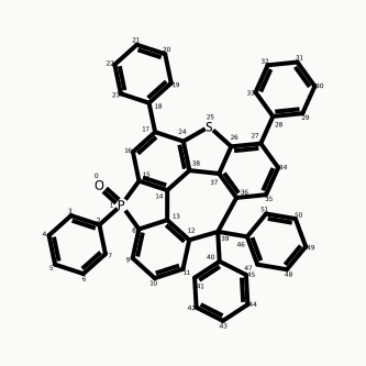 O=P1(c2ccccc2)c2cccc3c2-c2c1cc(-c1ccccc1)c1sc4c(-c5ccccc5)ccc(c4c21)C3(c1ccccc1)c1ccccc1